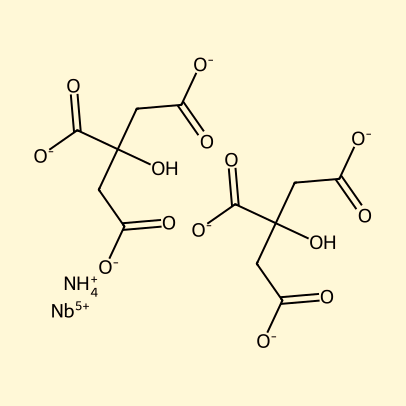 O=C([O-])CC(O)(CC(=O)[O-])C(=O)[O-].O=C([O-])CC(O)(CC(=O)[O-])C(=O)[O-].[NH4+].[Nb+5]